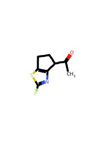 CC(=O)C1CCc2sc(F)nc21